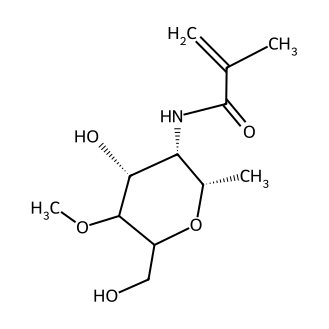 C=C(C)C(=O)N[C@@H]1[C@H](C)OC(CO)C(OC)[C@@H]1O